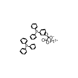 O=C([O-])C(=O)[O-].[Pt+2].c1ccc(P(c2ccccc2)c2ccccc2)cc1.c1ccc(P(c2ccccc2)c2ccccc2)cc1